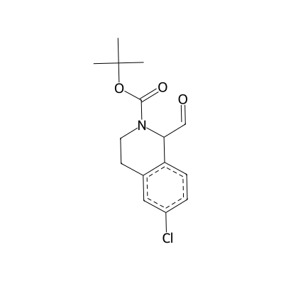 CC(C)(C)OC(=O)N1CCc2cc(Cl)ccc2C1C=O